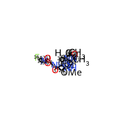 COc1cc(C(=O)NCCOC(=O)N2CCC(F)C2)ccc1Nc1ncc2c(n1)N(C1CCCC1)CC(C)(C)C(=O)N2C